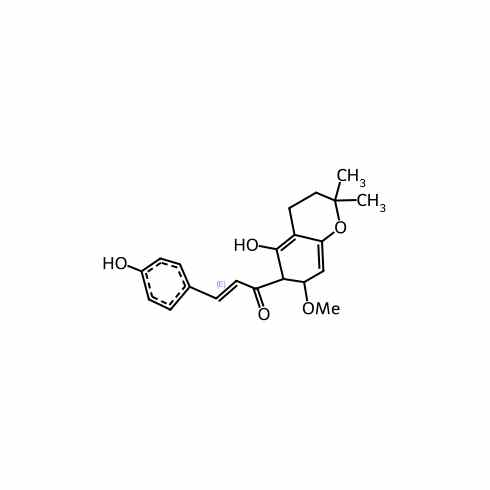 COC1C=C2OC(C)(C)CCC2=C(O)C1C(=O)/C=C/c1ccc(O)cc1